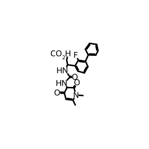 CC1=CC(=O)C(NC(=O)NC(CC(=O)O)c2cccc(-c3ccccc3)c2F)C(=O)N1C